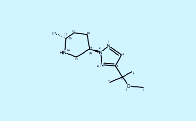 COC(C)(C)c1cnn([C@@H]2CC[C@@H](C)NC2)n1